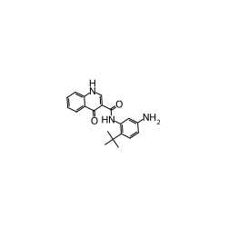 CC(C)(C)c1ccc(N)cc1NC(=O)c1c[nH]c2ccccc2c1=O